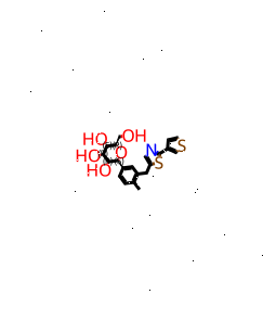 Cc1ccc([C@@H]2O[C@H](CO)[C@@H](O)[C@H](O)[C@H]2O)cc1Cc1cnc(-c2ccsc2)s1